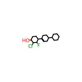 OC1CCC(C2=CCC(C3CCCCC3)CC2)C(F)C1Cl